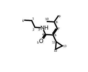 CCCNC(=O)C(=CC(C)C)C1CC1